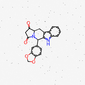 O=C1CC(=O)N2C1Cc1c([nH]c3ccccc13)C2c1ccc2c(c1)OCO2